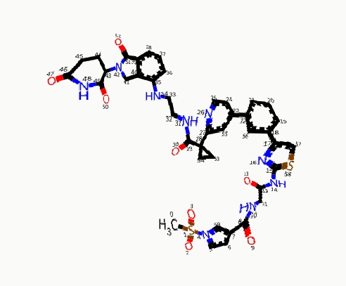 CS(=O)(=O)n1ccc(C(=O)NCC(=O)Nc2nc(-c3cccc(-c4ccnc(C5(C(=O)NCCNc6cccc7c6CN(C6CCC(=O)NC6=O)C7=O)CC5)c4)c3)cs2)c1